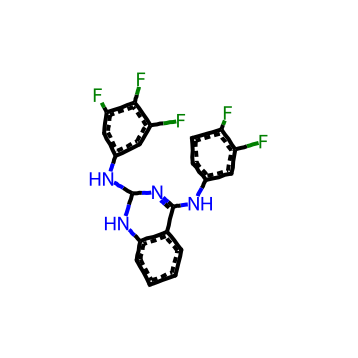 Fc1ccc(NC2=NC(Nc3cc(F)c(F)c(F)c3)Nc3ccccc32)cc1F